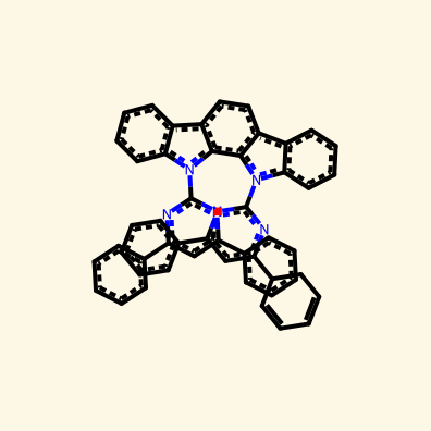 C1=CCC(c2cc(-c3ccccc3)nc(-n3c4ccccc4c4ccc5c6ccccc6n(-c6nc(-c7ccccc7)cc(-c7ccccc7)n6)c5c43)n2)C=C1